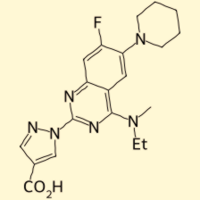 CCN(C)c1nc(-n2cc(C(=O)O)cn2)nc2cc(F)c(N3CCCCC3)cc12